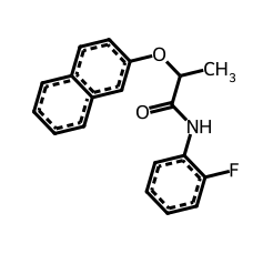 CC(Oc1ccc2ccccc2c1)C(=O)Nc1ccccc1F